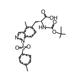 Cc1ccc(S(=O)(=O)n2ncc3c(C)c(C[C@H](NC(=O)OC(C)(C)C)C(=O)O)ccc32)cc1